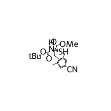 COC(=O)[C@](S)(Cc1c(C)cc(C#N)cc1C)NC(=O)OC(C)(C)C